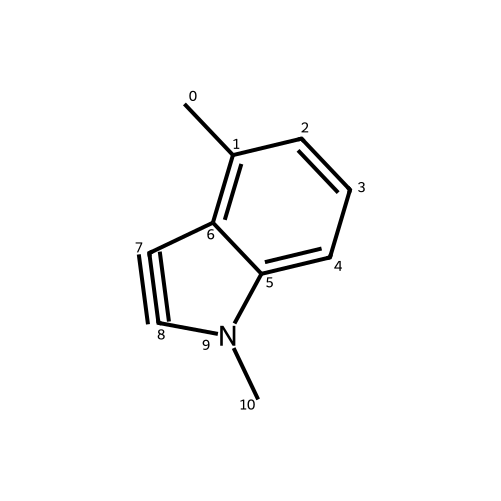 Cc1cccc2c1c#cn2C